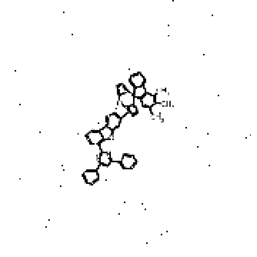 Cc1cc2c(c(C)c1C)-c1ccccc1C21c2ccccc2Oc2c(-c3ccc4c(c3)oc3c(-c5nc(-c6ccccc6)cc(-c6ccccc6)n5)cccc34)cccc21